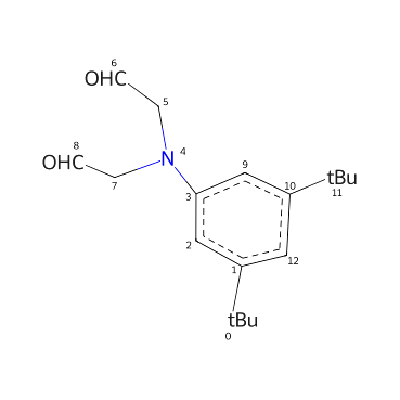 CC(C)(C)c1cc(N(CC=O)CC=O)cc(C(C)(C)C)c1